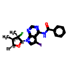 CC[C@H]1O[C@@H](n2cc(I)c3c(NC(=O)c4ccccc4)ncnc32)[C@](C)(F)[C@@H]1C